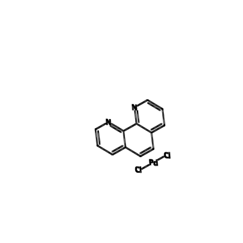 [Cl][Pd][Cl].c1cnc2c(c1)ccc1cccnc12